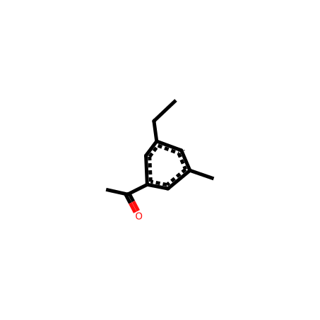 CCc1[c]c(C)cc(C(C)=O)c1